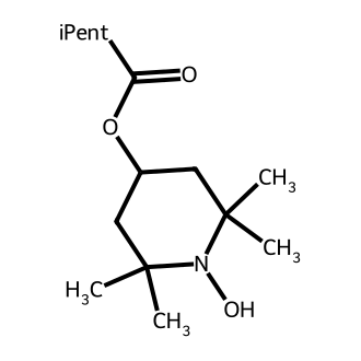 CCCC(C)C(=O)OC1CC(C)(C)N(O)C(C)(C)C1